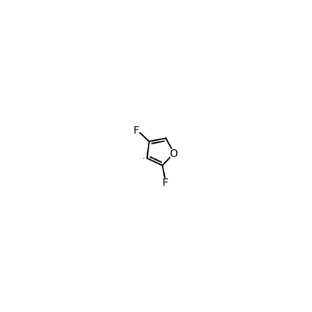 Fc1[c]c(F)oc1